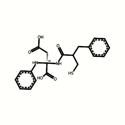 O=C(O)C[C@@](NC(=O)C(CS)Cc1ccccc1)(Nc1ccccc1)C(=O)O